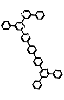 c1ccc(-c2ccnc(-c3cc(-c4ccccc4)cc(-c4ccc(-c5ccc(-c6ccc(-c7nc(-c8ccccc8)cc(-c8ccccc8)n7)cc6)cc5)cn4)n3)c2)cc1